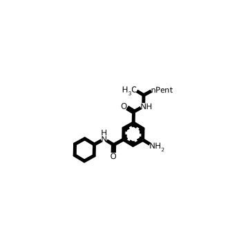 CCCCCC(C)NC(=O)c1cc(N)cc(C(=O)NC2CCCCC2)c1